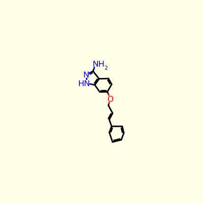 Nc1n[nH]c2cc(OCC=Cc3ccccc3)ccc12